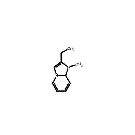 CCC1=CN2C=CC=CC2N1N